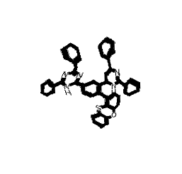 C1=C(c2ccccc2)N=C(c2ccccc2)NC1c1cc(C2N=C(c3ccccc3)N=C(c3ccccc3)N2)ccc1-c1cccc2c1Sc1ccccc1O2